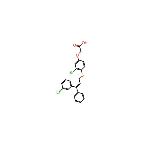 O=C(O)COc1ccc(SC/C=C(/c2ccccc2)c2cccc(Cl)c2)c(Br)c1